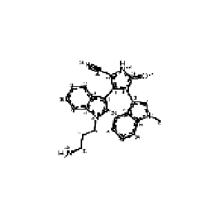 Cn1cc(-n2c(-c3cn(CCCN)c4ccccc34)c(C#N)[nH]c2=O)c2ccccc21